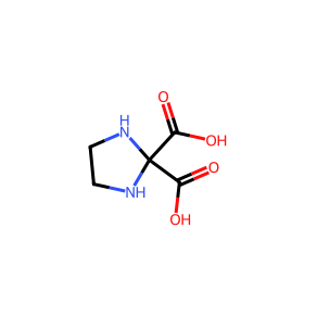 O=C(O)C1(C(=O)O)NCCN1